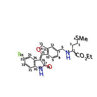 CCOC(=O)[C@H](CCSC)NCc1ccc2c(c1)CO/C2=C1/C(=O)Nc2ccc(F)cc21